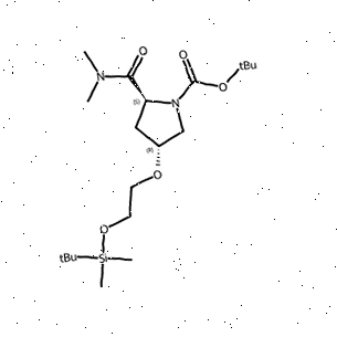 CN(C)C(=O)[C@@H]1C[C@@H](OCCO[Si](C)(C)C(C)(C)C)CN1C(=O)OC(C)(C)C